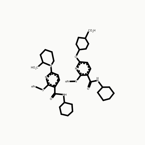 CCCSc1nc(N2CCCCC2C(=O)O)ccc1C(=O)NC1CCCCC1.CCCSc1nc(OC2CCC(C(=O)O)CC2)ccc1C(=O)NC1CCCCC1